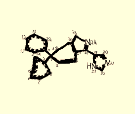 C1=CC(c2ccccc2)(c2ccccc2)CC2=C1C(c1cnc[nH]1)=NC2